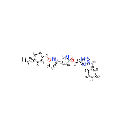 C/C(=N\OCc1ccc(C)cc1)c1ccc(OCc2nnn(Cc3ccccc3)n2)nc1